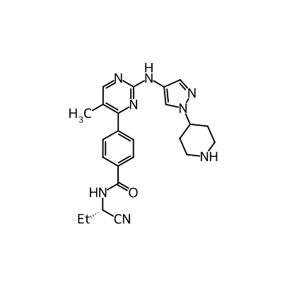 CC[C@@H](C#N)NC(=O)c1ccc(-c2nc(Nc3cnn(C4CCNCC4)c3)ncc2C)cc1